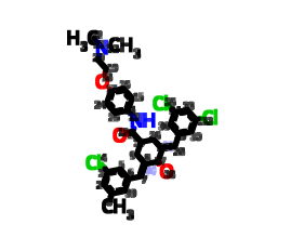 Cc1cc(Cl)cc(/C=C2\CC(C(=O)Nc3ccc(OCCN(C)C)cc3)C/C(=C\c3cc(Cl)cc(Cl)c3)C2=O)c1